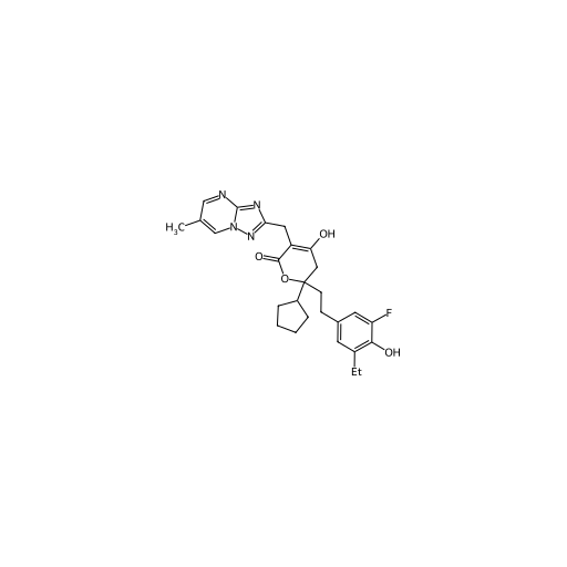 CCc1cc(CCC2(C3CCCC3)CC(O)=C(Cc3nc4ncc(C)cn4n3)C(=O)O2)cc(F)c1O